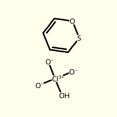 C1=COSC=C1.[O-][Cl+3]([O-])([O-])O